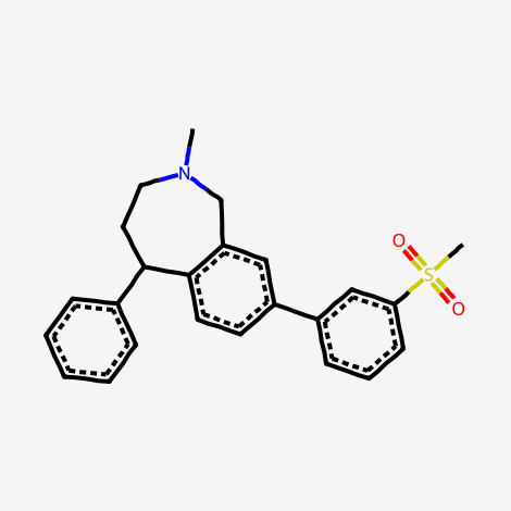 CN1CCC(c2ccccc2)c2ccc(-c3cccc(S(C)(=O)=O)c3)cc2C1